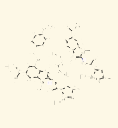 CCO[C@H](Cn1/c(=N/C(=O)c2cc(C)nn2CC)n(C)c2cc(C(N)=O)ccc21)[C@@H](Cn1/c(=N/C(=O)c2cc(C)nn2CC)n(C)c2cc(C(N)=O)cc(OCc3ccc(OC)cc3)c21)OCC